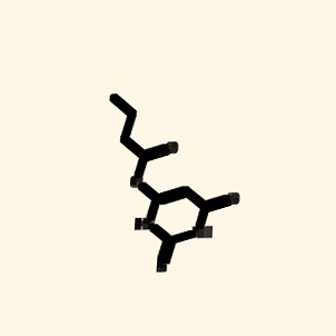 CCCC(=O)Oc1cc(=O)[nH]c(=S)[nH]1